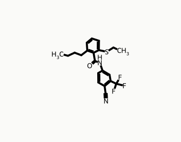 CCCCc1cccc(SCC)c1C(=O)Nc1ccc(C#N)c(C(F)(F)F)c1